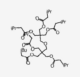 CCC(C)CC(=O)OCC(COCC(COC(=O)CC(C)C)(COC(=O)CC(C)C)COC(=O)CC(C)C)(COC(=O)CC(C)C)COC(=O)CC(C)C